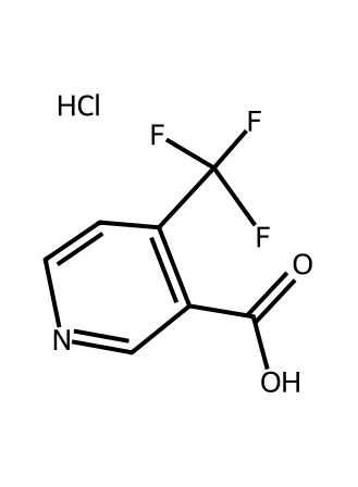 Cl.O=C(O)c1cnccc1C(F)(F)F